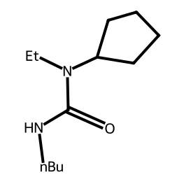 [CH2]CN(C(=O)NCCCC)C1CCCC1